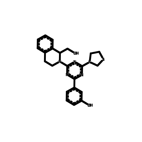 OCC1c2ccccc2CCN1c1nc(-c2cccc(O)c2)nc(N2CCSC2)n1